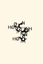 N#CCC1CN(c2nc(N3CCCC3CO)nc3c2CNC3)CCN1C(=O)O